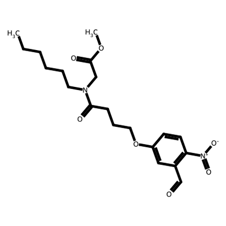 CCCCCCN(CC(=O)OC)C(=O)CCCOc1ccc([N+](=O)[O-])c(C=O)c1